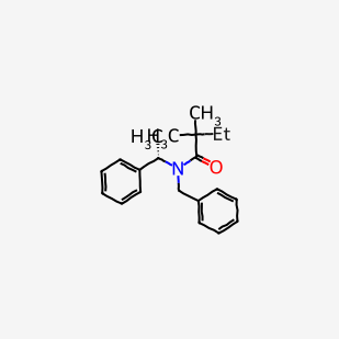 CCC(C)(C)C(=O)N(Cc1ccccc1)[C@@H](C)c1ccccc1